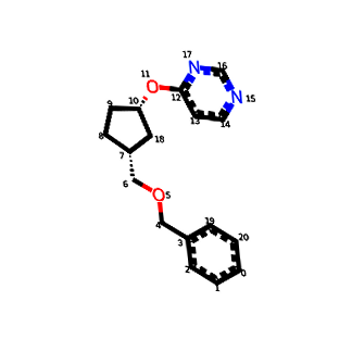 c1ccc(COC[C@@H]2CC[C@H](Oc3ccncn3)C2)cc1